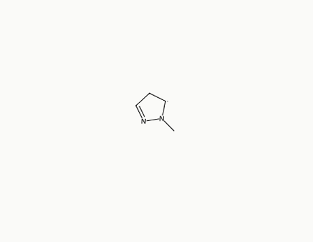 CN1[CH]CC=N1